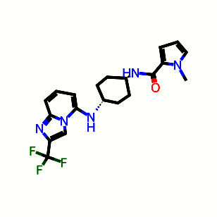 Cn1cccc1C(=O)N[C@H]1CC[C@@H](Nc2cccc3nc(C(F)(F)F)cn23)CC1